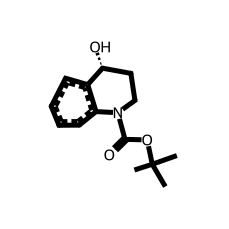 CC(C)(C)OC(=O)N1CC[C@@H](O)c2ccccc21